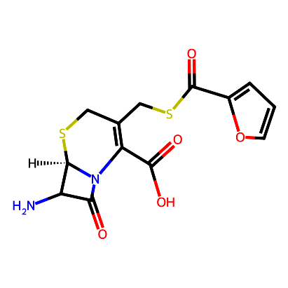 NC1C(=O)N2C(C(=O)O)=C(CSC(=O)c3ccco3)CS[C@H]12